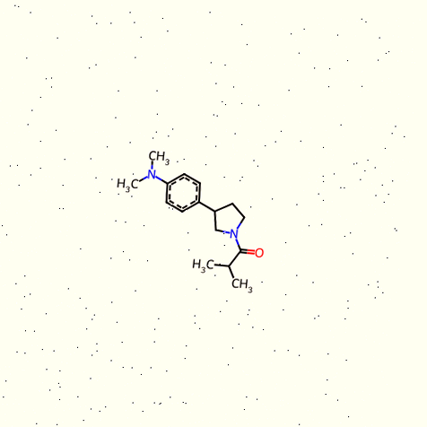 CC(C)C(=O)N1CCC(c2ccc(N(C)C)cc2)C1